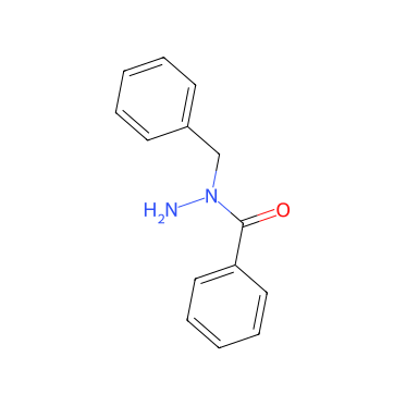 NN(Cc1ccccc1)C(=O)c1ccccc1